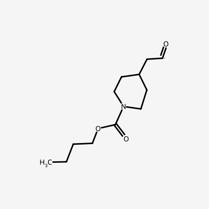 CCCCOC(=O)N1CCC(C[C]=O)CC1